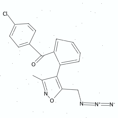 Cc1noc(CN=[N+]=[N-])c1-c1ccccc1C(=O)c1ccc(Cl)cc1